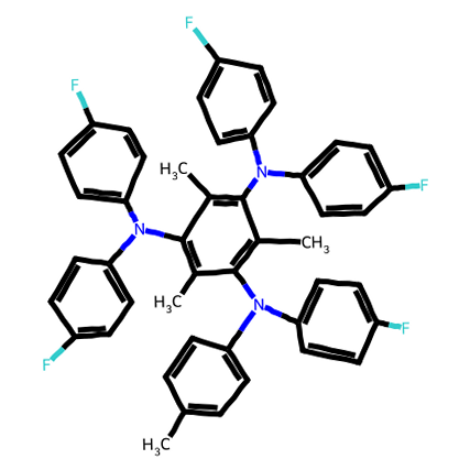 Cc1ccc(N(c2ccc(F)cc2)c2c(C)c(N(c3ccc(F)cc3)c3ccc(F)cc3)c(C)c(N(c3ccc(F)cc3)c3ccc(F)cc3)c2C)cc1